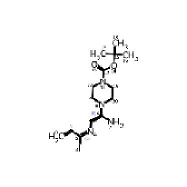 C=C/C(I)=N\C=C(/N)N1CCN(C(=O)OC(C)(C)C)CC1